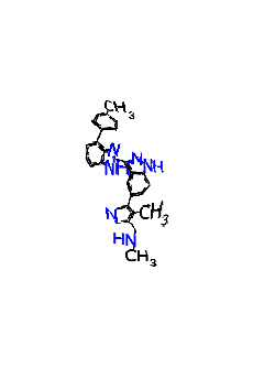 CCNCc1cncc(-c2ccc3[nH]nc(-c4nc5c(-c6ccc(C)cc6)cccc5[nH]4)c3c2)c1C